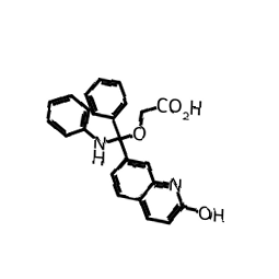 O=C(O)COC(Nc1ccccc1)(c1ccccc1)c1ccc2ccc(O)nc2c1